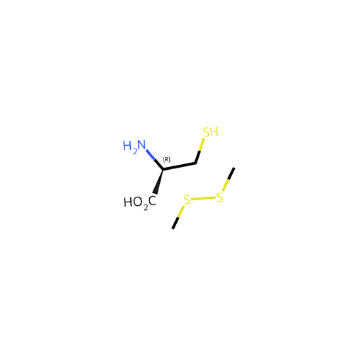 CSSC.N[C@@H](CS)C(=O)O